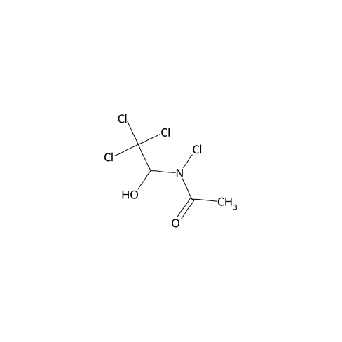 CC(=O)N(Cl)C(O)C(Cl)(Cl)Cl